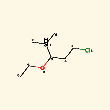 CCOC(CCCl)[SiH](C)C